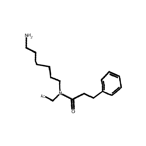 CC(=O)CN(CCCCCCN)C(=O)CCc1ccccc1